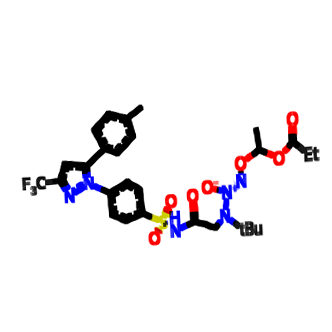 CCC(=O)OC(C)O/N=[N+](\[O-])N(CC(=O)NS(=O)(=O)c1ccc(-n2nc(C(F)(F)F)cc2-c2ccc(C)cc2)cc1)C(C)(C)C